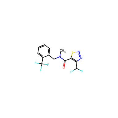 CN(Cc1ccccc1C(F)(F)F)C(=O)c1snnc1C(F)F